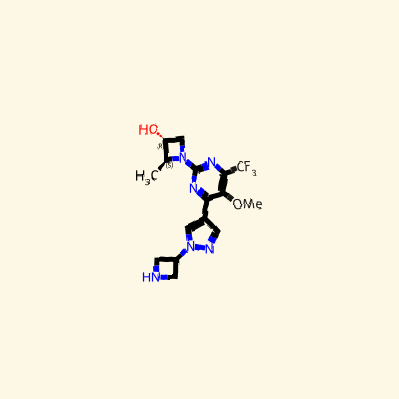 COc1c(-c2cnn(C3CNC3)c2)nc(N2C[C@@H](O)[C@@H]2C)nc1C(F)(F)F